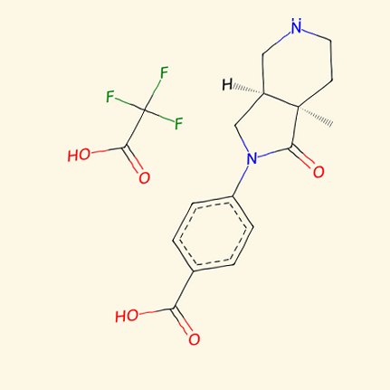 C[C@@]12CCNC[C@@H]1CN(c1ccc(C(=O)O)cc1)C2=O.O=C(O)C(F)(F)F